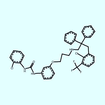 O=C(Nc1cccc(OCCCNCC(Cc2cccc(C(F)(F)F)c2Cl)(c2ccccc2)c2ccccc2)c1)Nc1ccccc1Cl